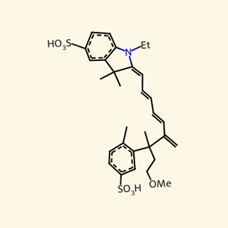 C=C(/C=C/C=C/C=C1/N(CC)c2ccc(S(=O)(=O)O)cc2C1(C)C)C(C)(CCOC)c1cc(S(=O)(=O)O)ccc1C